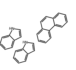 c1ccc2[nH]ccc2c1.c1ccc2[nH]ccc2c1.c1ccc2c(c1)ccc1ccccc12